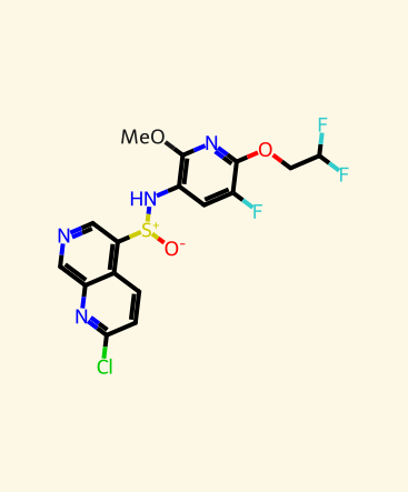 COc1nc(OCC(F)F)c(F)cc1N[S+]([O-])c1cncc2nc(Cl)ccc12